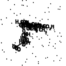 CCC(C)C(C(CC(=O)N1CCCC1C(OC)C(C)C(=S)NCC(=O)O)OC)N(C)C(=O)CNC(=O)C(C)(C)N(C)C(=O)OCc1ccc(NC(=O)CNC(=O)C(NC(=O)CCCCCN2C(=O)C=CC2=O)C(C)C)cc1